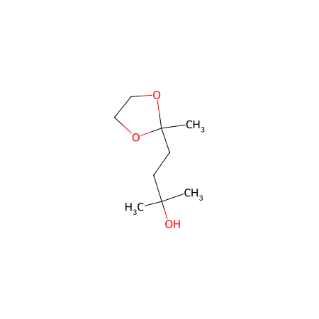 CC(C)(O)CCC1(C)OCCO1